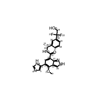 COc1c(-c2cnc[nH]2)cc(C(=O)N[C@H](C)c2cccc(C(F)(F)CO)c2)c2n[nH]cc12